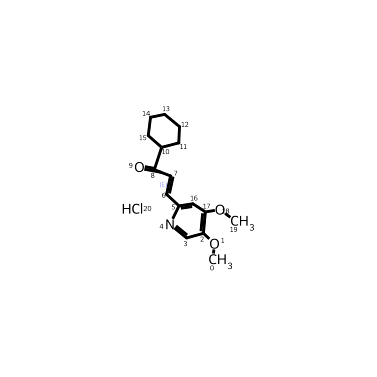 COc1cnc(/C=C/C(=O)C2CCCCC2)cc1OC.Cl